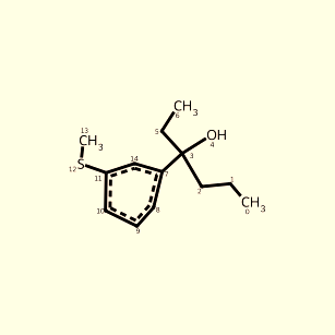 CCCC(O)(CC)c1cccc(SC)c1